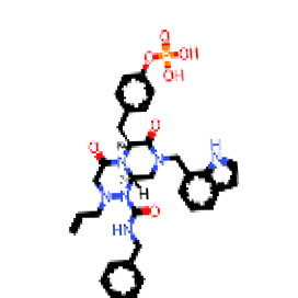 C=CCN1CC(=O)N2[C@@H](Cc3ccc(OP(=O)(O)O)cc3)C(=O)N(Cc3cccc4cc[nH]c34)C[C@@H]2N1C(=O)NCc1ccccc1